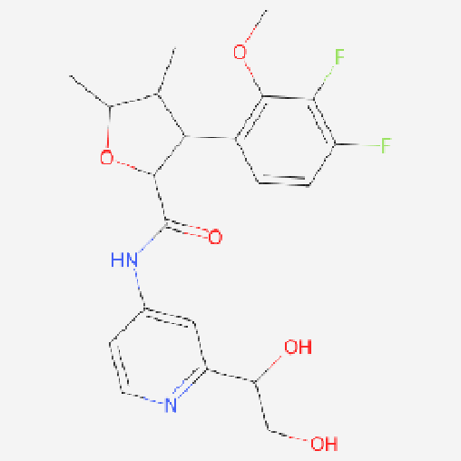 COc1c(C2C(C(=O)Nc3ccnc(C(O)CO)c3)OC(C)C2C)ccc(F)c1F